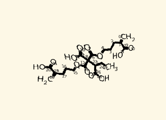 C=C(CCCOC(=O)C(C(=O)O)(C(=O)OCCCC(=C)C(=O)O)C(CC)C(=O)O)C(=O)O